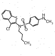 CCCCN(c1sc2ccccc2c1Cl)S(=O)(=O)c1ccc(NC)cc1